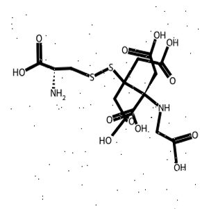 N[C@@H](CSSC(CC(=O)O)(CC(=O)O)[C@](CC(=O)O)(NCC(=O)O)C(=O)O)C(=O)O